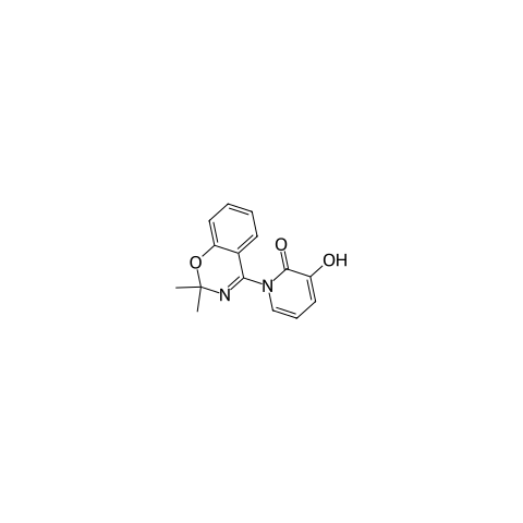 CC1(C)N=C(n2cccc(O)c2=O)c2ccccc2O1